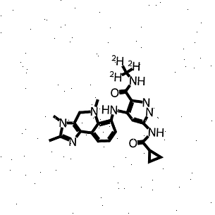 [2H]C([2H])([2H])NC(=O)c1nnc(NC(=O)C2CC2)cc1Nc1cccc2c1N(C)Cc1c-2nc(C)n1C